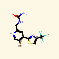 NC(=O)NCc1cc(-c2nc(C(F)(F)F)cs2)c(Br)cn1